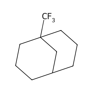 FC(F)(F)C12CCCC(CCC1)C2